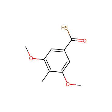 COc1cc(C(=O)S)cc(OC)c1C